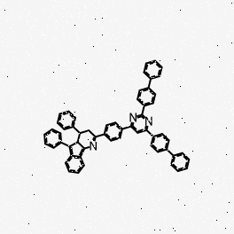 c1ccc(C2=c3ccccc3=C3N=C(c4ccc(-c5cc(-c6ccc(-c7ccccc7)cc6)nc(-c6ccc(-c7ccccc7)cc6)n5)cc4)CC(c4ccccc4)C32)cc1